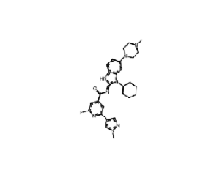 CN1CCN(c2ccc3[nH]/c(=N\C(=O)c4cc(F)nc(-c5cnn(C)c5)c4)n(C4CCCCC4)c3c2)CC1